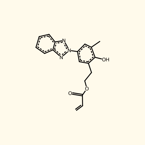 C=CC(=O)OCCc1cc(-n2nc3ccccc3n2)cc(C)c1O